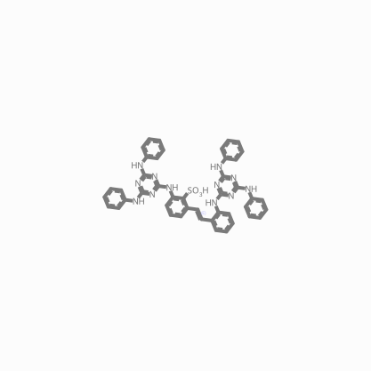 O=S(=O)(O)c1c(/C=C/c2ccccc2Nc2nc(Nc3ccccc3)nc(Nc3ccccc3)n2)cccc1Nc1nc(Nc2ccccc2)nc(Nc2ccccc2)n1